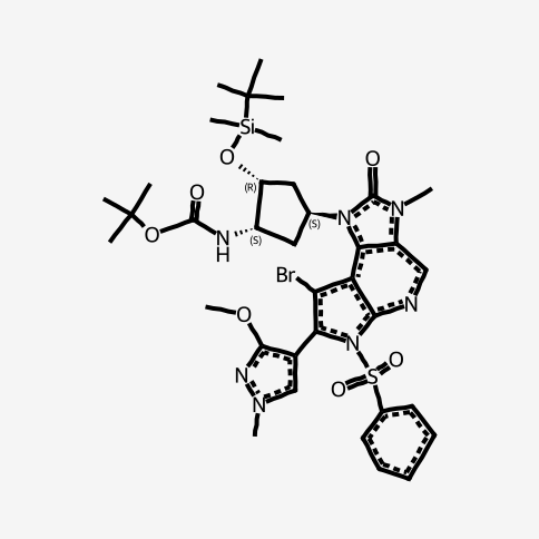 COc1nn(C)cc1-c1c(Br)c2c(ncc3c2n([C@H]2C[C@H](NC(=O)OC(C)(C)C)[C@H](O[Si](C)(C)C(C)(C)C)C2)c(=O)n3C)n1S(=O)(=O)c1ccccc1